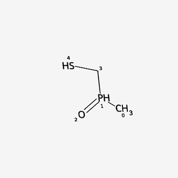 C[PH](=O)CS